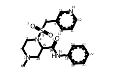 CN1CCN(S(=O)(=O)Cc2cccnc2)C(C(=O)Nc2ccccc2)C1